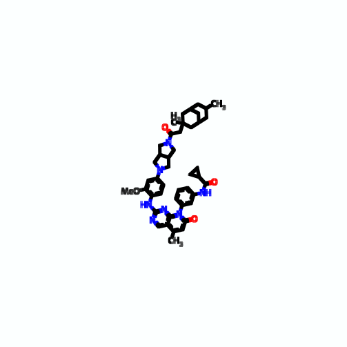 COc1cc(N2CC3CN(C(=O)CC4(C)CC5CC(C)CC(C5)C4)CC3C2)ccc1Nc1ncc2c(C)cc(=O)n(-c3cccc(NC(=O)C4CC4)c3)c2n1